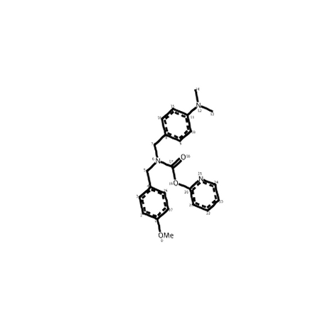 COc1ccc(CN(Cc2ccc(N(C)C)cc2)C(=O)Oc2ccccn2)cc1